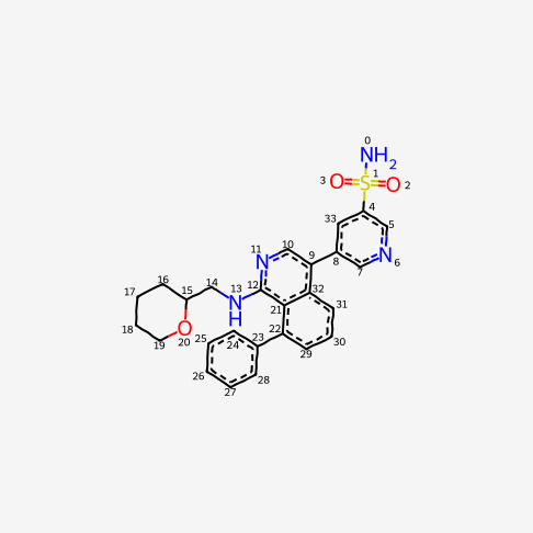 NS(=O)(=O)c1cncc(-c2cnc(NCC3CCCCO3)c3c(-c4ccccc4)cccc23)c1